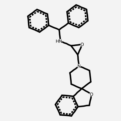 c1ccc(C(NC2OC2N2CCC3(CC2)OCc2ccccc23)c2ccccc2)cc1